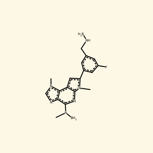 BNCc1cc(F)cc(-c2cc3c4c(ncn4C)c(N(B)C)nc3n2C)c1